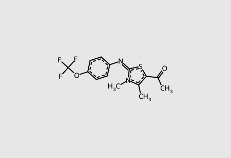 CC(=O)c1sc(=Nc2ccc(OC(F)(F)F)cc2)n(C)c1C